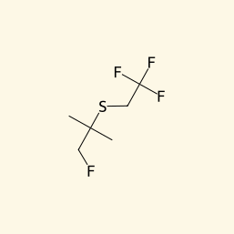 CC(C)(CF)SCC(F)(F)F